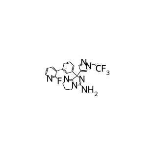 NC1=NC(c2cccc(-c3cccnc3F)c2)(c2cnn(CC(F)(F)F)c2)C2=NCCCN12